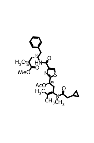 COC(=O)[C@@H](C)C[C@H](Cc1ccccc1)NC(=O)c1csc([C@@H](CC(=C(C)C)N(C)C(=O)CC2CC2)OC(C)=O)n1